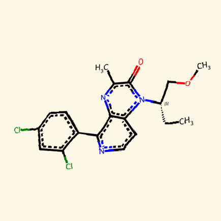 CC[C@@H](COC)n1c(=O)c(C)nc2c(-c3ccc(Cl)cc3Cl)nccc21